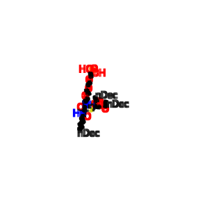 CCCCCCCCCCCCCCCC(=O)N[C@@H](CSC[C@@H](COC(=O)CCCCCCCCCCC)OC(=O)CCCCCCCCCCC)C(=O)NCCOCCOCCOCCP(=O)(O)O